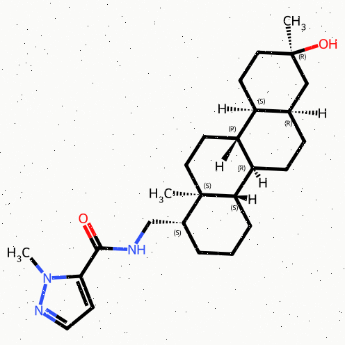 Cn1nccc1C(=O)NC[C@H]1CCC[C@H]2[C@@H]3CC[C@@H]4C[C@](C)(O)CC[C@@H]4[C@H]3CC[C@]12C